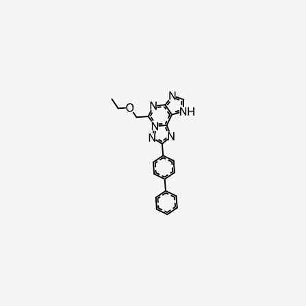 CCOCc1nc2nc[nH]c2c2nc(-c3ccc(-c4ccccc4)cc3)nn12